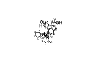 CC1CCC(c2ccccc2)S(=O)(=O)N1Cc1cc(F)c(C2([C@H]3CNC(=O)O3)CC(C)(O)C2)cc1F